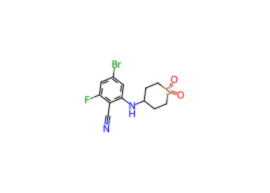 N#Cc1c(F)cc(Br)cc1NC1CCS(=O)(=O)CC1